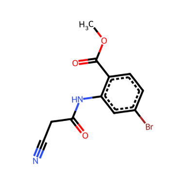 COC(=O)c1ccc(Br)cc1NC(=O)CC#N